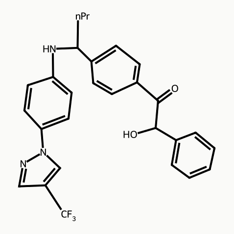 CCCC(Nc1ccc(-n2cc(C(F)(F)F)cn2)cc1)c1ccc(C(=O)C(O)c2ccccc2)cc1